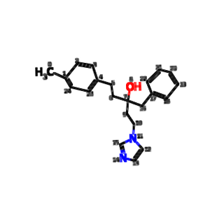 Cc1ccc(CCC(O)(CCn2ccnc2)Cc2ccccc2)cc1